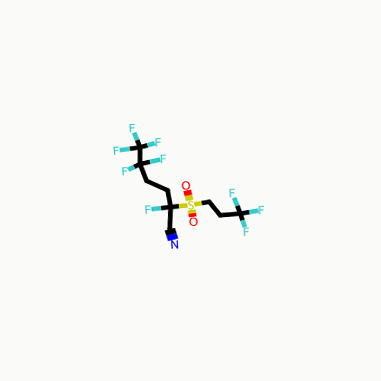 N#CC(F)(CCC(F)(F)C(F)(F)F)S(=O)(=O)CCC(F)(F)F